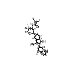 Cc1cc(-c2[nH]c3ccc([C@@H]4CN(CC(=O)N(C)C)C(C)(C)CO4)cc3c2C(C)C)cn2ncnc12